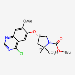 COc1cc2ncnc(Cl)c2cc1O[C@@H]1CN(C(=O)OC(C)(C)C)[C@@](C)(C(=O)O)C1